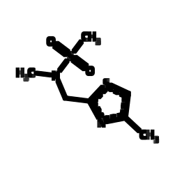 Cc1csc(CN(C)S(C)(=O)=O)n1